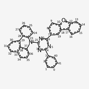 c1ccc(-c2nc(-c3ccc4oc5ccccc5c4c3)nc(N3c4ccccc4-c4cccc5cccc3c45)n2)cc1